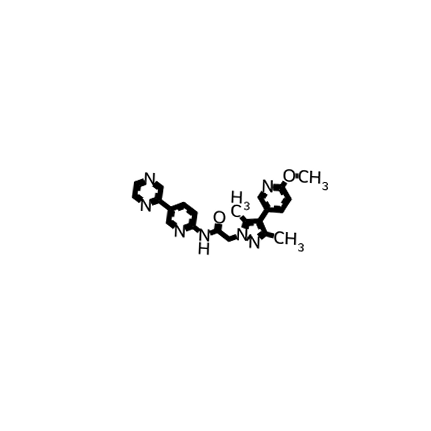 COc1ccc(-c2c(C)nn(CC(=O)Nc3ccc(-c4cnccn4)cn3)c2C)cn1